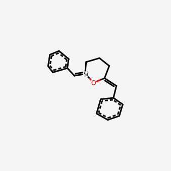 C(=C1CCC[Si](=Cc2ccccc2)O1)c1ccccc1